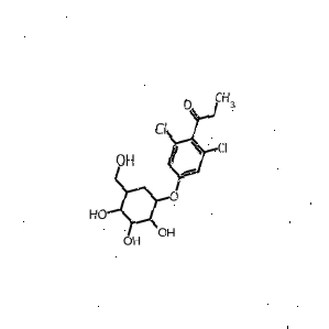 CCC(=O)c1c(Cl)cc(OC2CC(CO)C(O)C(O)C2O)cc1Cl